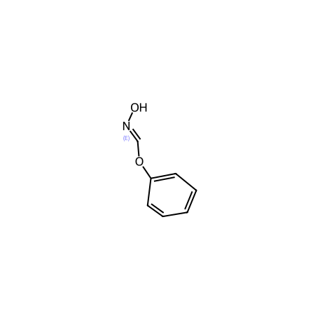 O/N=C/Oc1ccccc1